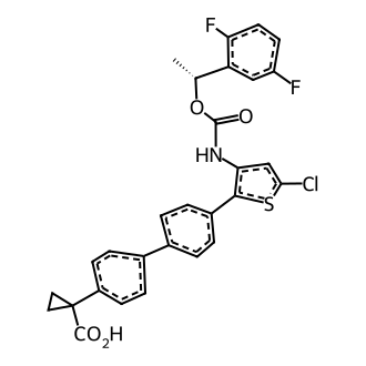 C[C@@H](OC(=O)Nc1cc(Cl)sc1-c1ccc(-c2ccc(C3(C(=O)O)CC3)cc2)cc1)c1cc(F)ccc1F